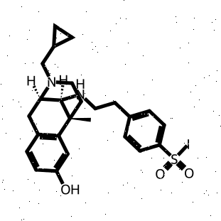 C[C@@]12CCN(CC3CC3)[C@H](Cc3ccc(O)cc31)[C@H]2NCCc1ccc(S(=O)(=O)I)cc1